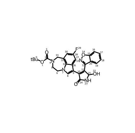 CC(C)(C)OC(=O)N1CCn2cc(C3=C(c4noc5ccccc45)C(O)NC3=O)c3cc(F)cc(c32)C1